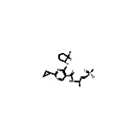 CC(/C=C/S(C)(=O)=O)NC(=O)c1cnc(C2CC2)nc1O[C@@H]1CCCC1(F)F